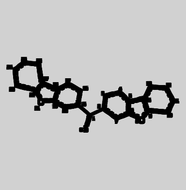 S=C(c1ccc2c(c1)oc1ccccc12)c1ccc2c(c1)oc1ccccc12